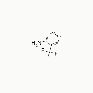 Nc1cc[c]cc1C(F)(F)F